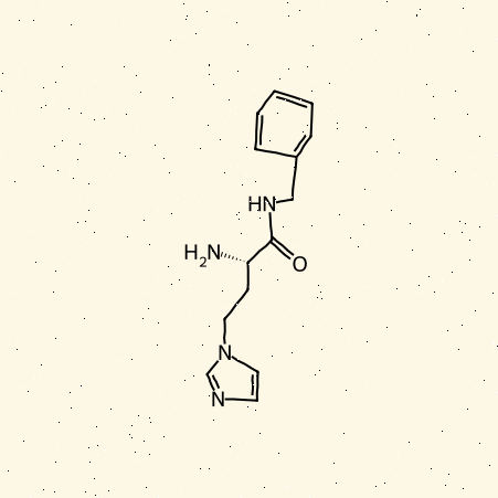 N[C@@H](CCn1ccnc1)C(=O)NCc1ccccc1